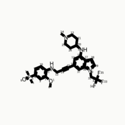 COc1cc(P(C)(C)=O)ccc1NCC#Cc1cc(NC2CCN(C)CC2)c2ccn(CC(F)(F)F)c2c1